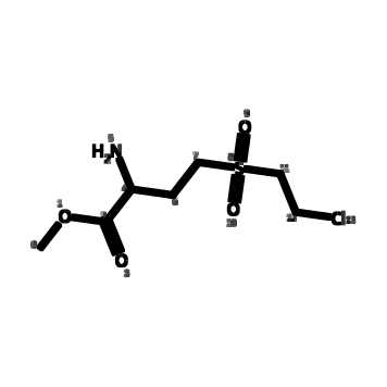 COC(=O)C(N)CCS(=O)(=O)CCCl